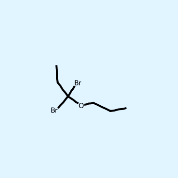 CCCOC(Br)(Br)CC